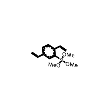 C=Cc1ccc(C=C)c([Si](OC)(OC)OC)c1